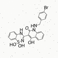 O=c1c(C2=NS(O)(O)c3ccccc3N2)c(O)c2ccccc2n1NCc1ccc(Br)cc1